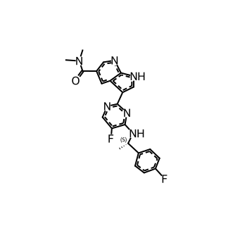 C[C@H](Nc1nc(-c2c[nH]c3ncc(C(=O)N(C)C)cc23)ncc1F)c1ccc(F)cc1